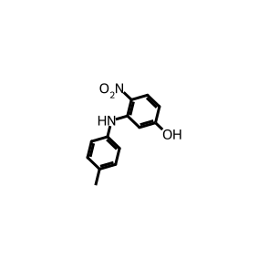 Cc1ccc(Nc2cc(O)ccc2[N+](=O)[O-])cc1